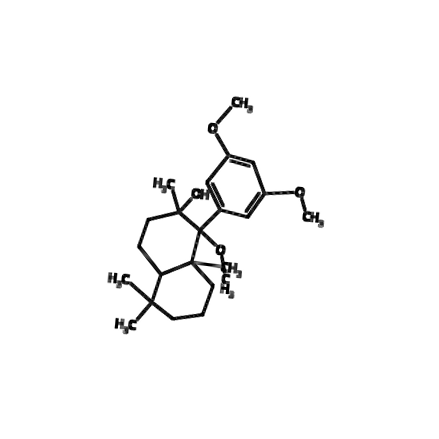 COc1cc(OC)cc(C2(OC)C(C)(O)CCC3C(C)(C)CCCC32C)c1